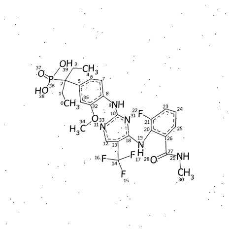 CCC(CC)(c1ccc(Nc2ncc(C(F)(F)F)c(Nc3c(F)cccc3C(=O)NC)n2)c(OC)c1)P(=O)(O)O